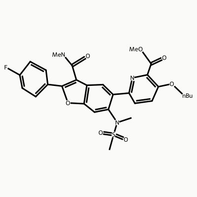 CCCCOc1ccc(-c2cc3c(C(=O)NC)c(-c4ccc(F)cc4)oc3cc2N(C)S(C)(=O)=O)nc1C(=O)OC